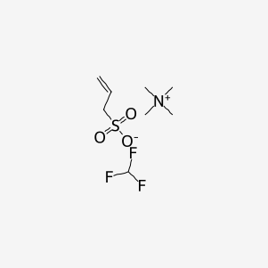 C=CCS(=O)(=O)[O-].C[N+](C)(C)C.FC(F)F